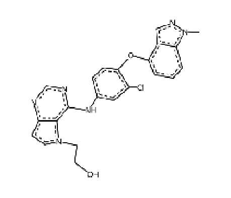 Cn1ncc2c(Oc3ccc(Nc4ncnc5ccn(CCO)c45)cc3Cl)cccc21